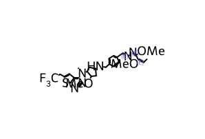 C\C=C(OC)/C(=N\N=C\c1ccc(CNC2CC(OC)C(N(C)c3ncnc4sc(CC(F)(F)F)cc34)C2)cc1)OC